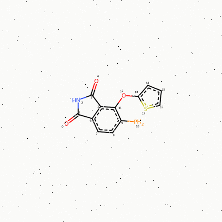 O=C1NC(=O)c2c1ccc(P)c2Oc1cccs1